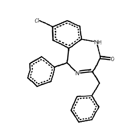 O=C1Nc2ccc(Cl)cc2C(c2ccccc2)N=C1Cc1ccccc1